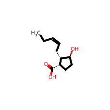 CC/C=C\C[C@H]1[C@@H](C(=O)O)CC[C@@H]1O